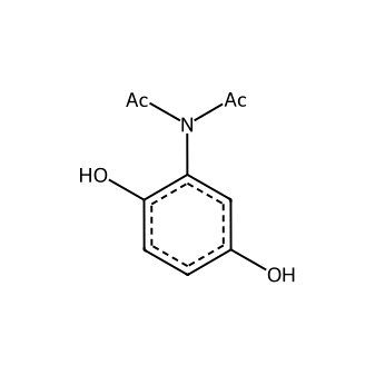 CC(=O)N(C(C)=O)c1cc(O)ccc1O